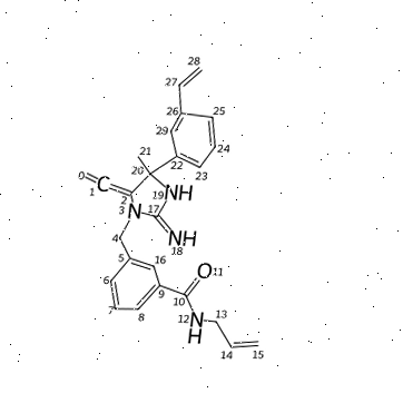 C=C=C1N(Cc2cccc(C(=O)NCC=C)c2)C(=N)NC1(C)c1cccc(C=C)c1